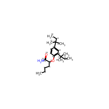 CCCCC(Oc1ccc(C(C)(C)CC)cc1C(C)(C)CC)C(N)=O